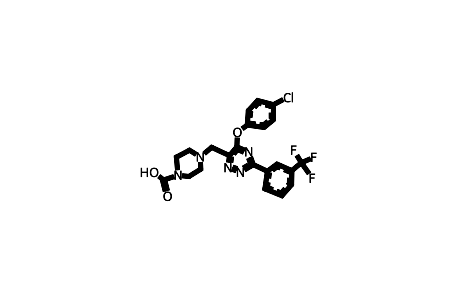 O=C(O)N1CCN(Cc2nnc(-c3cccc(C(F)(F)F)c3)nc2Oc2ccc(Cl)cc2)CC1